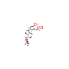 CC(C)(O)CCC[C@@](C)(CCO)C1CCC2[C@@H](O[Si](C)(C)C(C)(C)C)CCC[C@@]21C